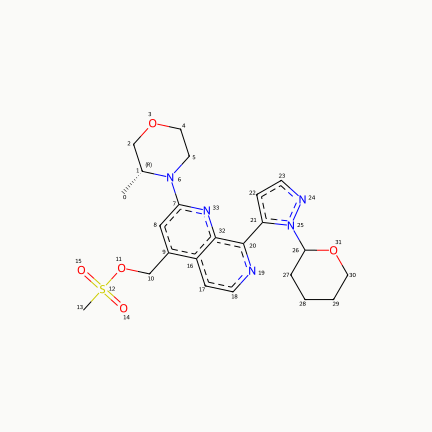 C[C@@H]1COCCN1c1cc(COS(C)(=O)=O)c2ccnc(-c3ccnn3C3CCCCO3)c2n1